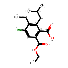 CCOC(=O)c1cc(Cl)c(CC)c(CC(C)C)c1C(=O)O